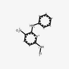 [CH2]CNc1ccc([N+](=O)[O-])c(Nc2ccccc2)n1